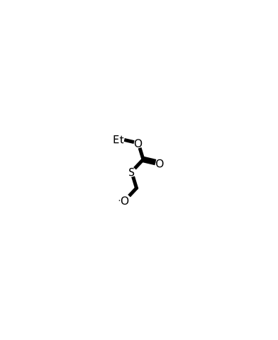 CCOC(=O)SC[O]